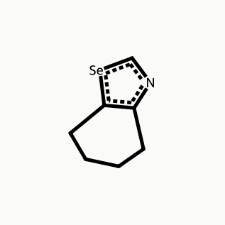 c1nc2c([se]1)CCCC2